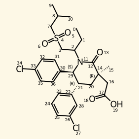 CCC(CS(=O)(=O)CC(C)C)N1C(=O)[C@@](C)(CC(=O)O)C[C@H](c2cccc(Cl)c2)[C@H]1c1ccc(Cl)cc1